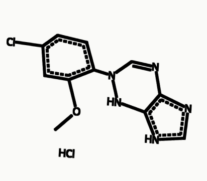 COc1cc(Cl)ccc1N1C=Nc2nc[nH]c2N1.Cl